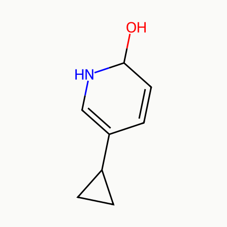 OC1C=CC(C2CC2)=CN1